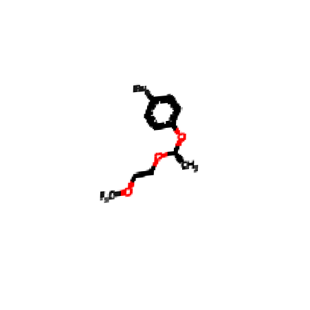 CCC(C)c1ccc(OC(C)OCCOC(F)(F)F)cc1